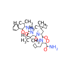 CC(C)[C@@H](NC(=O)N[C@H](C(=O)N1C[C@]2(C[C@H]1C(=O)NC(CC1CCC1)C(=O)C(N)=O)C(C)(C)C21CCC1)C(C)(C)C)C(=O)c1ccccc1